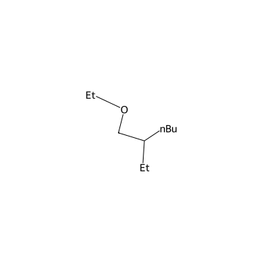 [CH2]COCC(CC)CCCC